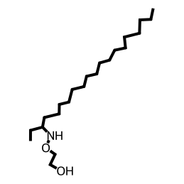 CCCCCCCCCCCCCCCCCC(CC)NOCCO